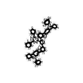 c1ccc(-c2nc(-c3ccccc3)nc(-c3cc(-c4cccc5c4oc4cc6c7ccccc7n(-c7ccccc7)c6cc45)cnc3-c3cccc4c3oc3cc5c6ccccc6n(-c6ccccc6)c5cc34)n2)cc1